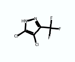 FC(F)(F)c1n[nH]c(Cl)c1Cl